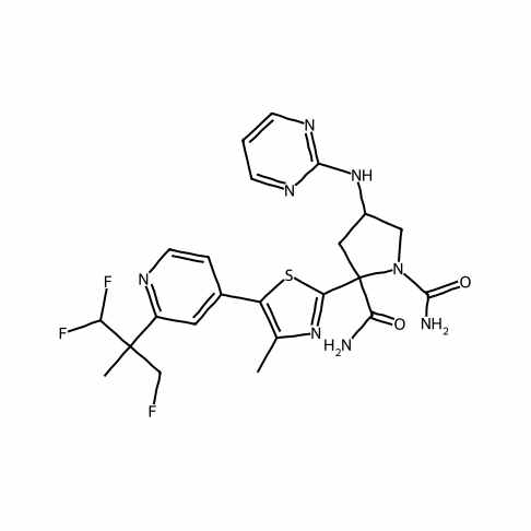 Cc1nc(C2(C(N)=O)CC(Nc3ncccn3)CN2C(N)=O)sc1-c1ccnc(C(C)(CF)C(F)F)c1